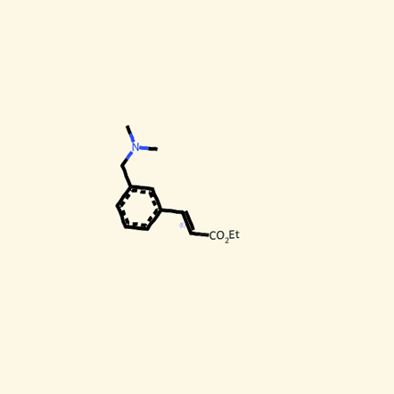 CCOC(=O)/C=C/c1cccc(CN(C)C)c1